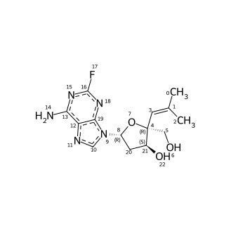 CC(C)=C[C@]1(CO)O[C@@H](n2cnc3c(N)nc(F)nc32)C[C@@H]1O